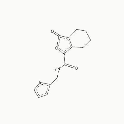 O=C(NCc1cccs1)n1oc(=O)c2c1CCCC2